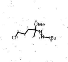 COC(C)(CCCCl)N=NC(C)(C)C